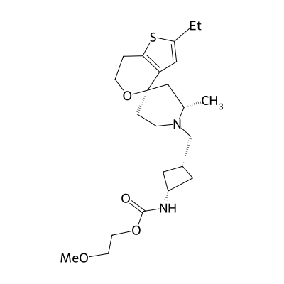 CCc1cc2c(s1)CCO[C@@]21CCN(C[C@H]2C[C@@H](NC(=O)OCCOC)C2)[C@@H](C)C1